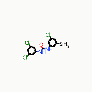 O=C(Nc1cc([SiH3])cc(Cl)c1)Nc1cc(Cl)cc(Cl)c1